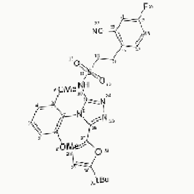 COc1cccc(OC)c1-n1c(NS(=O)(=O)CCc2ccc(F)cc2C#N)nnc1-c1ccc(C(C)(C)C)o1